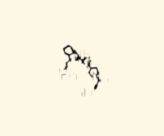 CCCC#CC(=O)N1CCC(c2nc(C(=O)Nc3ccccc3CCCOCCC)cs2)CC1